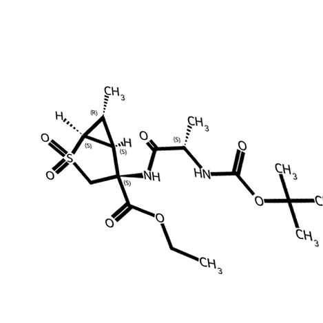 CCOC(=O)[C@]1(NC(=O)[C@H](C)NC(=O)OC(C)(C)C)CS(=O)(=O)[C@H]2[C@H](C)[C@H]21